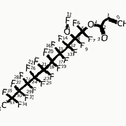 C=CC(=O)OC(F)(F)C(F)(OF)C(F)(F)C(F)(F)C(F)(F)C(F)(F)C(F)(F)C(F)(F)C(F)(F)C(F)(F)C(F)(F)F